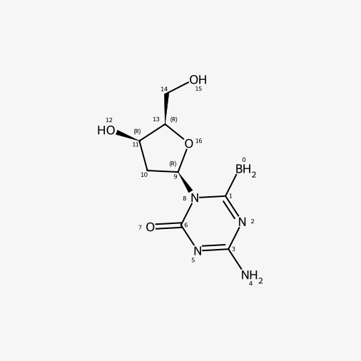 Bc1nc(N)nc(=O)n1[C@H]1C[C@@H](O)[C@@H](CO)O1